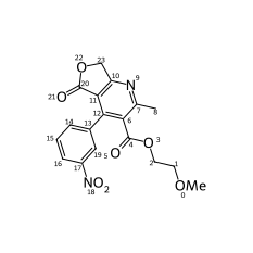 COCCOC(=O)c1c(C)nc2c(c1-c1cccc([N+](=O)[O-])c1)C(=O)OC2